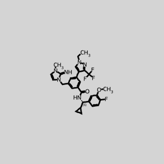 CCn1cc(-c2cc(Cn3ccn(C)c3=N)cc(C(=O)N[C@H](c3ccc(F)c(OC)c3)C3CC3)c2)c(C(F)(F)F)n1